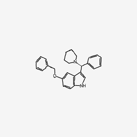 c1ccc(COc2ccc3[nH]cc(C(c4ccccc4)N4CCCCC4)c3c2)cc1